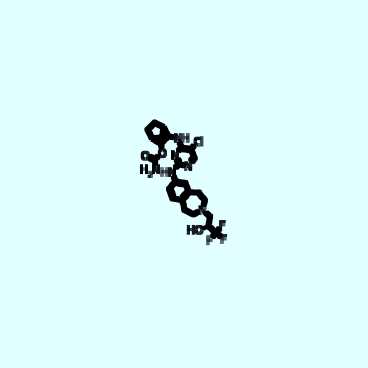 NC(=O)OC1C2CCC(C2)C1Nc1nc(Nc2ccc3c(c2)CCN(C[C@H](O)C(F)(F)F)CC3)ncc1Cl